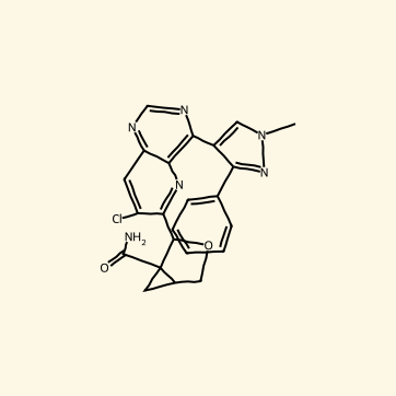 Cn1cc(-c2ncnc3cc(Cl)c(C4OCC5CC54C(N)=O)nc23)c(-c2ccccc2)n1